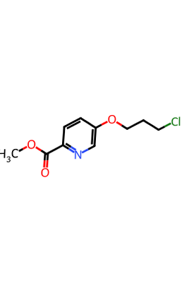 COC(=O)c1ccc(OCCCCl)cn1